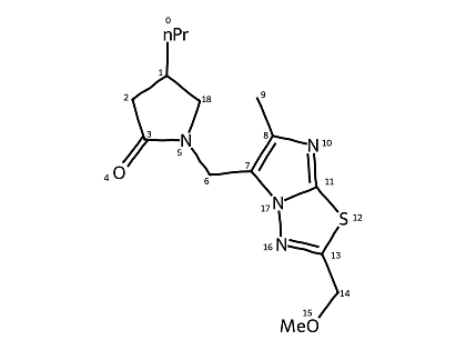 CCCC1CC(=O)N(Cc2c(C)nc3sc(COC)nn23)C1